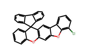 Clc1cccc2c1oc1cc3c(cc12)C1(c2ccccc2O3)c2ccccc2-c2ccccc21